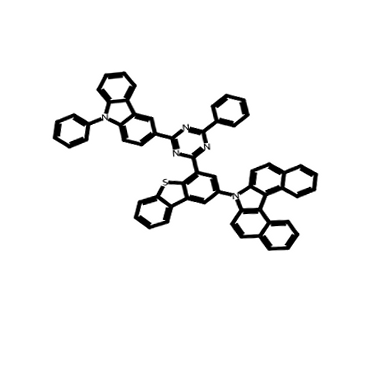 c1ccc(-c2nc(-c3ccc4c(c3)c3ccccc3n4-c3ccccc3)nc(-c3cc(-n4c5ccc6ccccc6c5c5c6ccccc6ccc54)cc4c3sc3ccccc34)n2)cc1